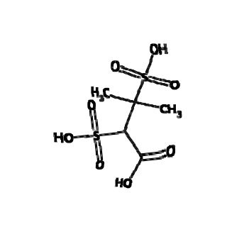 CC(C)(C(C(=O)O)S(=O)(=O)O)S(=O)(=O)O